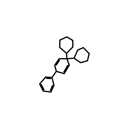 C1=CC(C2CCCCC2)(C2CCCCC2)C=CC1c1ccccc1